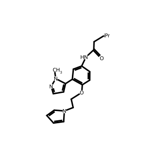 CC(C)CC(=O)Nc1ccc(OCCn2cccc2)c(-c2ccnn2C)c1